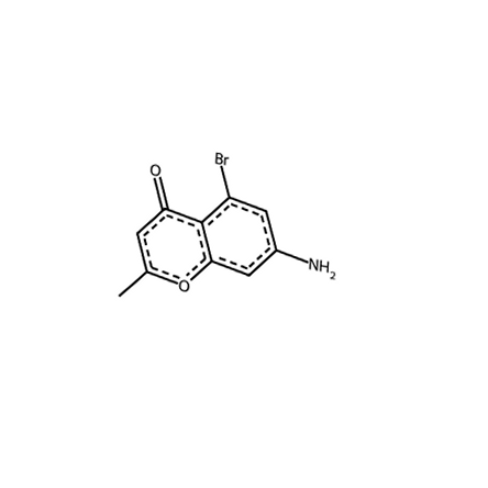 Cc1cc(=O)c2c(Br)cc(N)cc2o1